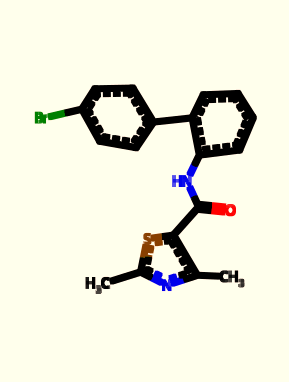 Cc1nc(C)c(C(=O)Nc2ccccc2-c2ccc(Br)cc2)s1